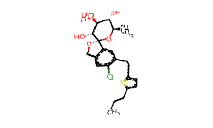 CCCc1ccc(Cc2cc3c(cc2Cl)CO[C@]32O[C@H](C)[C@@H](O)[C@H](O)[C@H]2O)s1